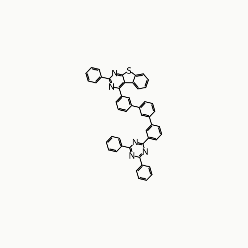 c1ccc(-c2nc(-c3ccccc3)nc(-c3cccc(-c4cccc(-c5cccc(-c6nc(-c7ccccc7)nc7sc8ccccc8c67)c5)c4)c3)n2)cc1